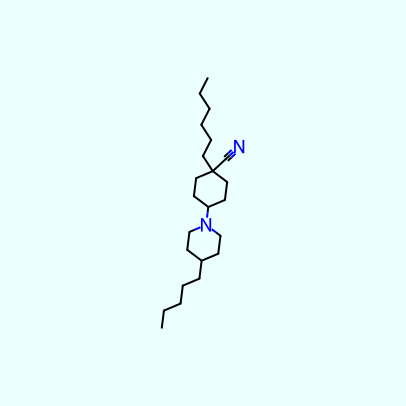 CCCCCCC1(C#N)CCC(N2CCC(CCCCC)CC2)CC1